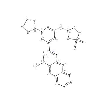 CN(C)c1nc2ccccc2nc1/C=C/c1nc(N[C@@H]2CCS(=O)(=O)C2)cc(N2CCCC2)n1